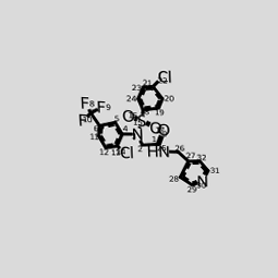 O=C(CN(c1cc(C(F)(F)F)ccc1Cl)S(=O)(=O)c1ccc(Cl)cc1)NCc1ccncc1